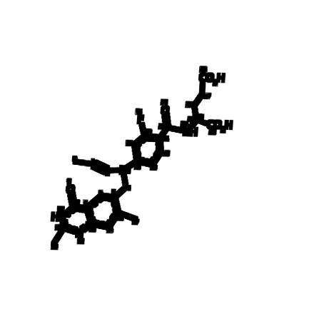 CC#CN(Cc1cc2c(=O)[nH]c(C)nc2cc1C)c1ccc(C(=O)N[C@@H](CCC(=O)O)C(=O)O)c(F)c1